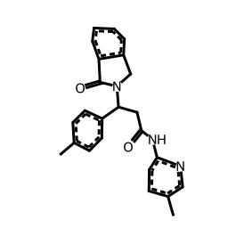 Cc1ccc(C(CC(=O)Nc2ccc(C)cn2)N2Cc3ccccc3C2=O)cc1